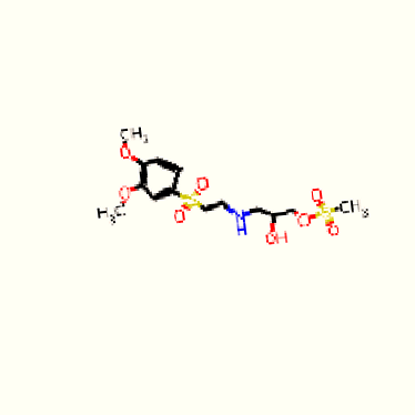 COc1ccc(S(=O)(=O)CCNCC(O)COS(C)(=O)=O)cc1OC